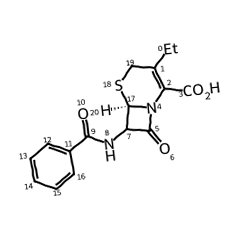 CCC1=C(C(=O)O)N2C(=O)C(NC(=O)c3ccccc3)[C@H]2SC1